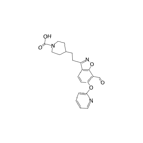 O=Cc1c(Oc2ccccn2)ccc2c(CCC3CCN(C(=O)O)CC3)noc12